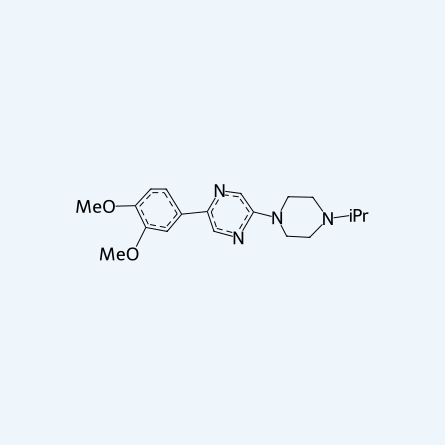 COc1ccc(-c2cnc(N3CCN(C(C)C)CC3)cn2)cc1OC